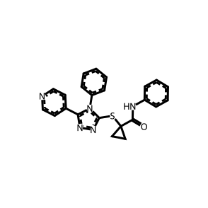 O=C(Nc1ccccc1)C1(Sc2nnc(-c3ccncc3)n2-c2ccccc2)CC1